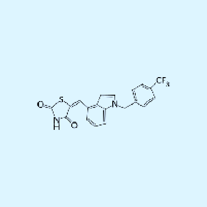 O=C1NC(=O)C(=Cc2cccc3c2ccn3Cc2ccc(C(F)(F)F)cc2)S1